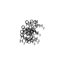 CC(=O)O[C@@]12CO[C@@H]1C[C@@H]1O[Si](C)(C)C[Si](C)(C)O[C@H]3C(=O)[C@@]1(C)C2[C@H](OC(=O)c1ccccc1)[C@]1(O)C[C@H](OC(=O)[C@H](OPP)[C@@H](NC(=O)c2ccccc2)c2ccccc2)C(C)=C3C1(C)C